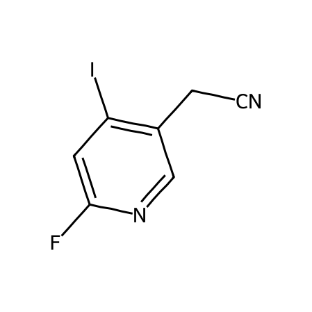 N#CCc1cnc(F)cc1I